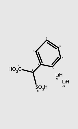 O=C(O)C(c1ccccc1)S(=O)(=O)O.[LiH].[LiH]